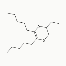 CCCCCC1=C(CCCCC)SC(CC)CS1